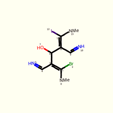 CN/C(Br)=C(\C=N)C(O)/C(C=N)=C(\I)NC